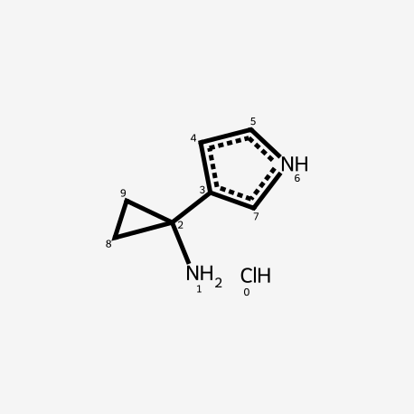 Cl.NC1(c2cc[nH]c2)CC1